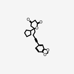 O=C1CC(=O)OC(CCC#Cc2ccc3c(c2)OCO3)(C2CCCC2)C1